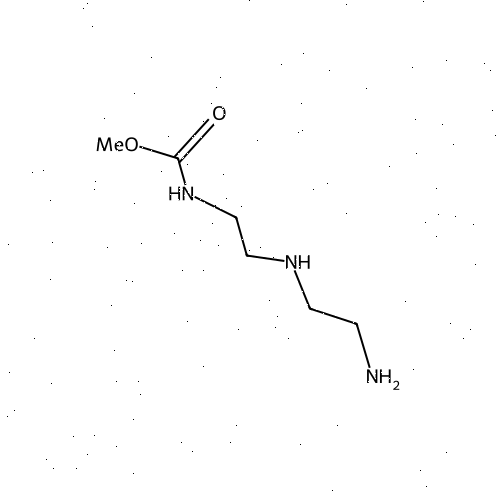 COC(=O)NCCNCCN